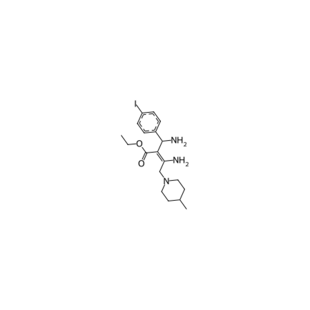 CCOC(=O)/C(=C(/N)CN1CCC(C)CC1)C(N)c1ccc(I)cc1